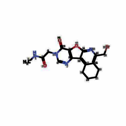 CNC(=O)Cn1cnc2c(oc3nc(CBr)c4c(c32)CCCC4)c1=O